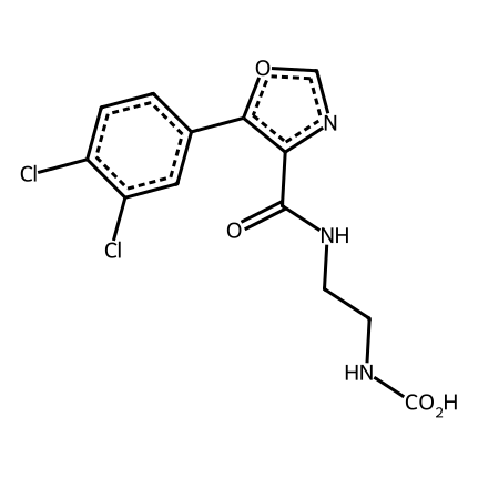 O=C(O)NCCNC(=O)c1ncoc1-c1ccc(Cl)c(Cl)c1